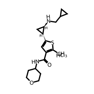 Cc1sc([C@@H]2C[C@H]2NCC2CC2)cc1C(=O)NC1CCOCC1.Cl